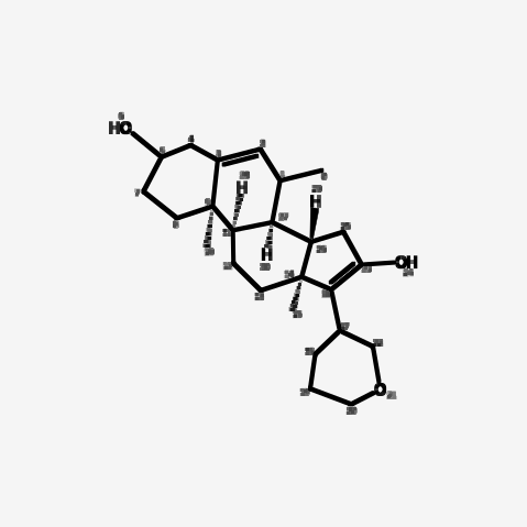 CC1C=C2CC(O)CC[C@]2(C)[C@@H]2CC[C@]3(C)C(C4CCCOC4)=C(O)C[C@H]3[C@H]12